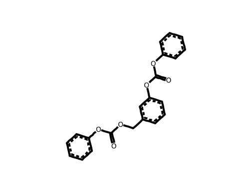 O=C(OCc1cccc(OC(=O)Oc2ccccc2)c1)Oc1ccccc1